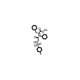 CCOC(=O)[C@H](Cc1ccccc1)N(C(=O)CNS(=O)(=O)c1ccc(C)cc1)c1ccccc1